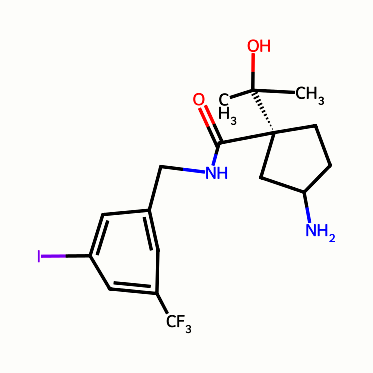 CC(C)(O)[C@]1(C(=O)NCc2cc(I)cc(C(F)(F)F)c2)CCC(N)C1